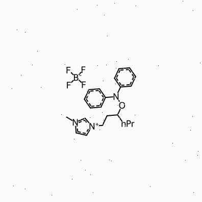 CCCC(CC[n+]1ccn(C)c1)ON(c1ccccc1)c1ccccc1.F[B-](F)(F)F